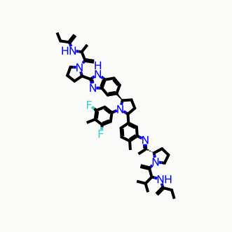 C=C(CC)NC(C)C(=C)N1CCCC1c1nc2cc([C@H]3CCC(c4ccc(C)c(/N=C(\C)[C@@H]5CCCN5C(=C)C(NC(=C)CC)C(C)C)c4)N3c3cc(F)c(C)c(F)c3)ccc2[nH]1